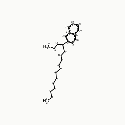 CCCCCCCCCCCCC(CCC)c1ccc2ccccc2c1